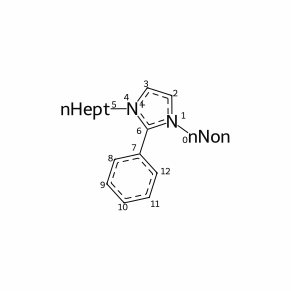 CCCCCCCCCn1cc[n+](CCCCCCC)c1-c1ccccc1